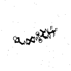 Cc1nc(C(F)(F)F)ncc1S(=O)(=O)N1CC2(CN(CC3COC3)C2)C1